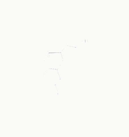 CCCC(C=O)SC(C=O)CCC